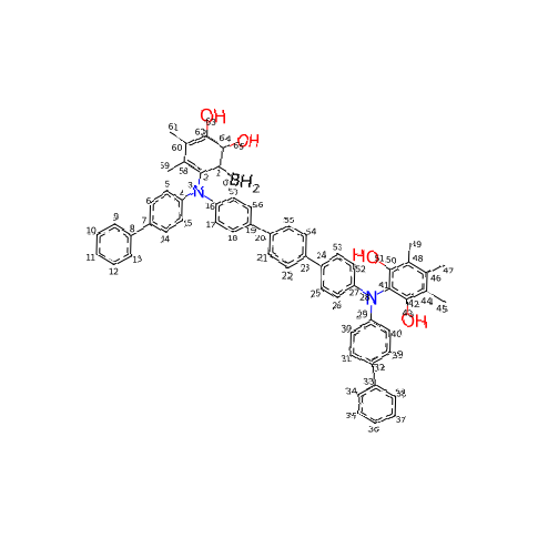 BC1C(N(c2ccc(-c3ccccc3)cc2)c2ccc(-c3ccc(-c4ccc(N(c5ccc(-c6ccccc6)cc5)c5c(O)c(C)c(C)c(C)c5O)cc4)cc3)cc2)=C(C)C(C)=C(O)C1O